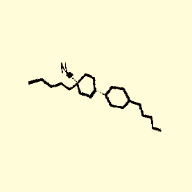 CCCCCC1CCC([C@H]2CC[C@](C#N)(CCCCC)CC2)CC1